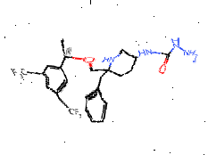 C[C@@H](OCC1(c2ccccc2)CCC(NC(=O)NN)CN1)c1cc(C(F)(F)F)cc(C(F)(F)F)c1